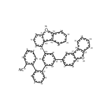 N#Cc1ccccc1-c1ccccc1-c1cc(-c2ccc3oc4ccccc4c3c2)cc(-c2cccc3oc4ccccc4c23)c1